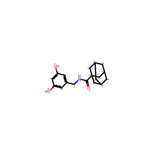 O=C(NCc1cc(O)cc(O)c1)C12CC3CC(CC(C3)C1)C2